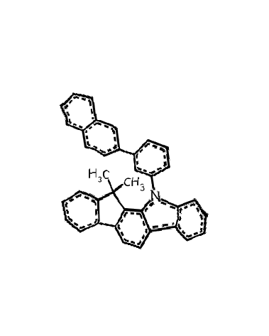 CC1(C)c2ccccc2-c2ccc3c4ccccc4n(-c4cccc(-c5ccc6ccccc6c5)c4)c3c21